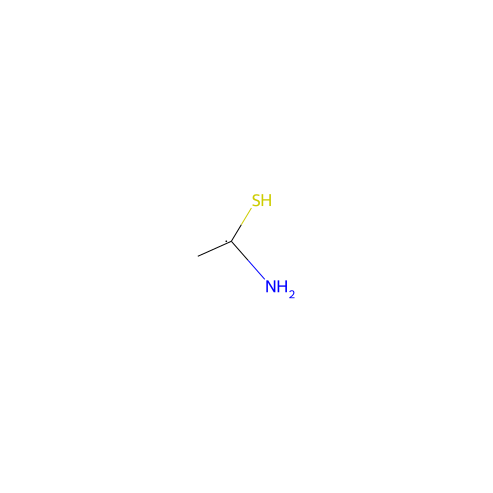 C[C](N)S